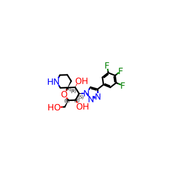 OC[C@H]1O[C@@]2(CCCNC2)[C@H](O)[C@@H](n2cc(-c3cc(F)c(F)c(F)c3)nn2)[C@H]1O